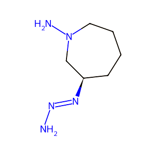 NN=N[C@@H]1CCCCN(N)C1